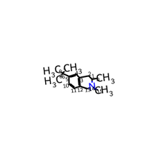 CC1Cc2cc(C(C)(C)C)ccc2CN1C